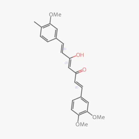 COc1cc(/C=C/C(O)=C/C(=O)/C=C/c2ccc(OC)c(OC)c2)ccc1C